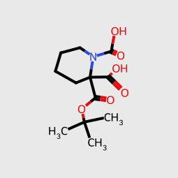 CC(C)(C)OC(=O)C1(C(=O)O)CCCCN1C(=O)O